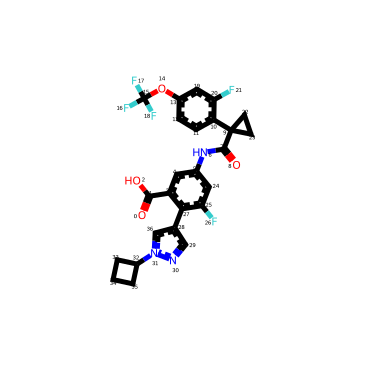 O=C(O)c1cc(NC(=O)C2(c3ccc(OC(F)(F)F)cc3F)CC2)cc(F)c1-c1cnn(C2CCC2)c1